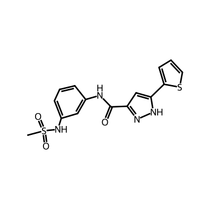 CS(=O)(=O)Nc1cccc(NC(=O)c2cc(-c3cccs3)[nH]n2)c1